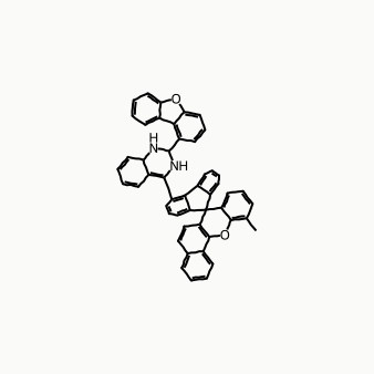 Cc1cccc2c1Oc1c(ccc3ccccc13)C21c2ccccc2-c2c(C3=C4C=CC=CC4NC(c4cccc5oc6ccccc6c45)N3)cccc21